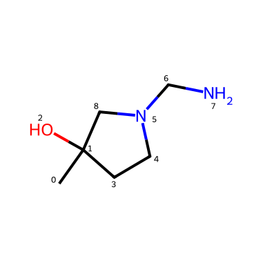 CC1(O)CCN(CN)C1